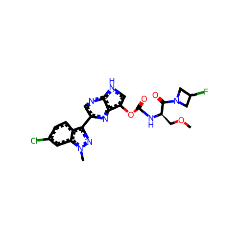 COC[C@@H](NC(=O)Oc1c[nH]c2ncc(-c3nn(C)c4cc(Cl)ccc34)nc12)C(=O)N1CC(F)C1